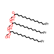 CC(C)CCCCCCCCCCCCCCC(=O)OCO.CC(C)CCCCCCCCCCCCCCC(=O)OCO.CC(C)CCCCCCCCCCCCCCC(=O)OCO